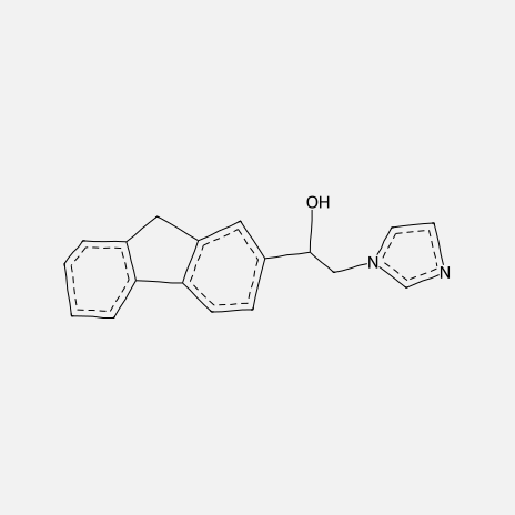 OC(Cn1ccnc1)c1ccc2c(c1)Cc1ccccc1-2